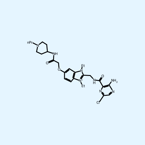 CCCN1CCC(NC(=O)COc2ccc3c(c2)n(CC)c(CNC(=O)c2nc(Cl)cnc2N)[n+]3CC)CC1